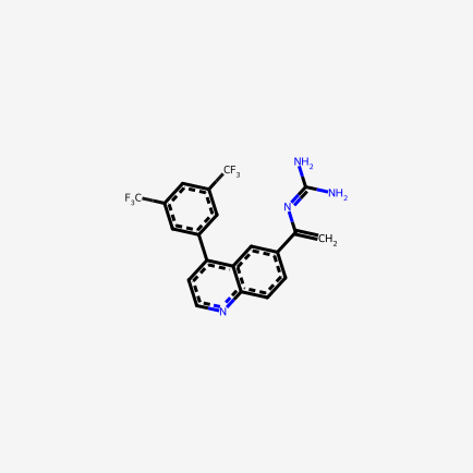 C=C(N=C(N)N)c1ccc2nccc(-c3cc(C(F)(F)F)cc(C(F)(F)F)c3)c2c1